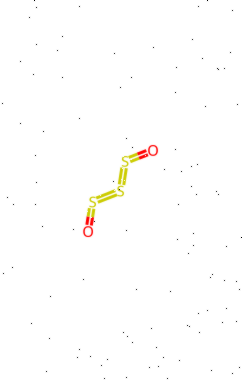 O=S=S=S=O